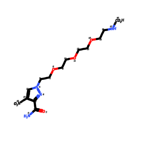 NC(=O)c1nn(CCOCCOCCOCCNC(=O)O)cc1[N+](=O)[O-]